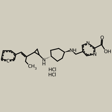 CC/C(=C\c1ccccc1)C1CC1N[C@H]1CC[C@H](NCc2cnc(C(=O)O)nc2)CC1.Cl.Cl